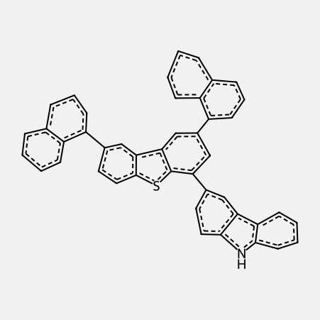 c1ccc2c(-c3ccc4sc5c(-c6ccc7[nH]c8ccccc8c7c6)cc(-c6cccc7ccccc67)cc5c4c3)cccc2c1